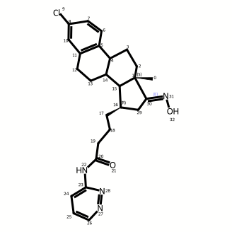 C[C@]12CCC3c4ccc(Cl)cc4CCC3C1[C@H](CCCC(=O)Nc1cccnn1)C/C2=N\O